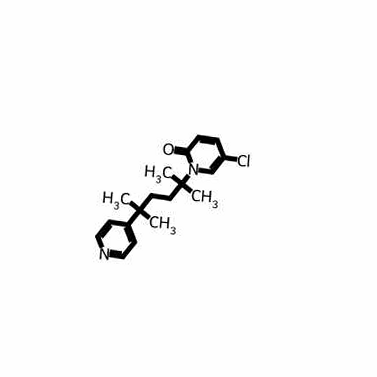 CC(C)(CCC(C)(C)n1cc(Cl)ccc1=O)c1ccncc1